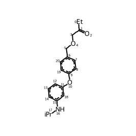 CCC(=O)COCc1ccc(Oc2cccc(NC(C)C)c2)cc1